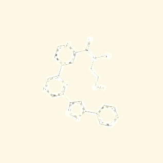 CCCN(CCOC)C(=O)c1cc(-c2cncc(-c3cc(-c4ccccc4)no3)n2)ccn1